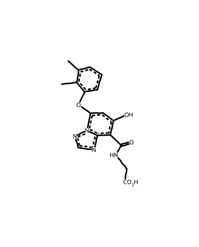 Cc1cccc(Oc2cc(O)c(C(=O)NCC(=O)O)c3ncnn23)c1C